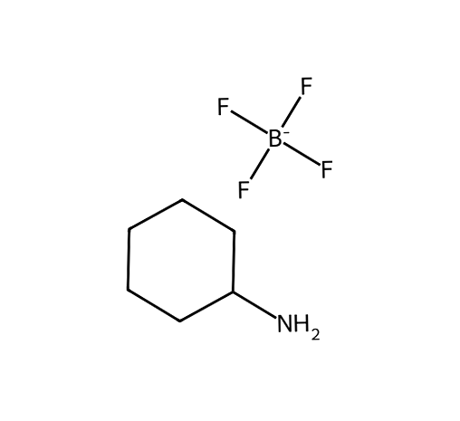 F[B-](F)(F)F.NC1CCCCC1